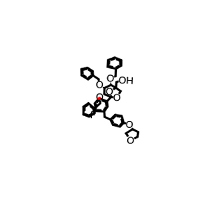 OCC12COC(c3ccc(F)c(Cc4ccc(OC5CCOC5)cc4)c3)(O1)C(OCc1ccccc1)[C@@H](OCc1ccccc1)[C@@H]2OCc1ccccc1